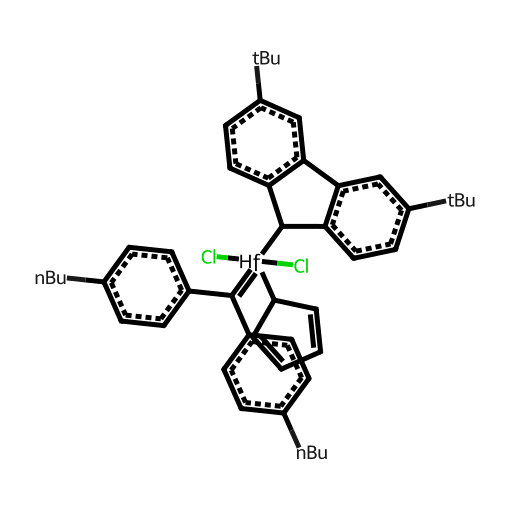 CCCCc1ccc([C](c2ccc(CCCC)cc2)=[Hf]([Cl])([Cl])([CH]2C=CC=C2)[CH]2c3ccc(C(C)(C)C)cc3-c3cc(C(C)(C)C)ccc32)cc1